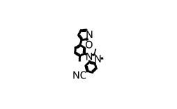 Cc1ccc2c(oc3ncccc32)c1N1c2cc(C#N)ccc2N(C)[C@@H]1C